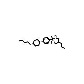 CCCCC[C@H]1CC[C@H](c2ccc(C3(C)OCC(CCC)CO3)cc2)CC1